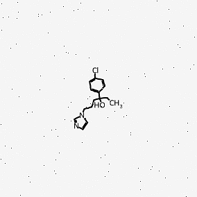 CCC(O)(CCCn1ccnc1)c1ccc(Cl)cc1